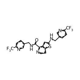 O=C(NCc1ccc(C(F)(F)F)nc1)c1nccc2sc(NCc3ccc(C(F)(F)F)nc3)cc12